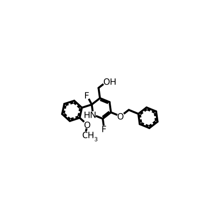 COc1ccccc1C1(F)NC(F)=C(OCc2ccccc2)C=C1CO